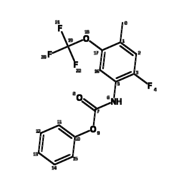 Cc1cc(F)c(NC(=O)Oc2ccccc2)cc1OC(F)(F)F